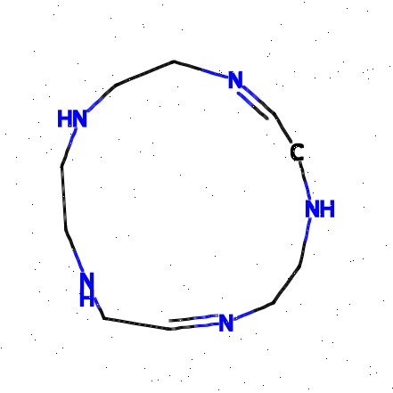 C1=NCCNCC=NCCNCCNC1